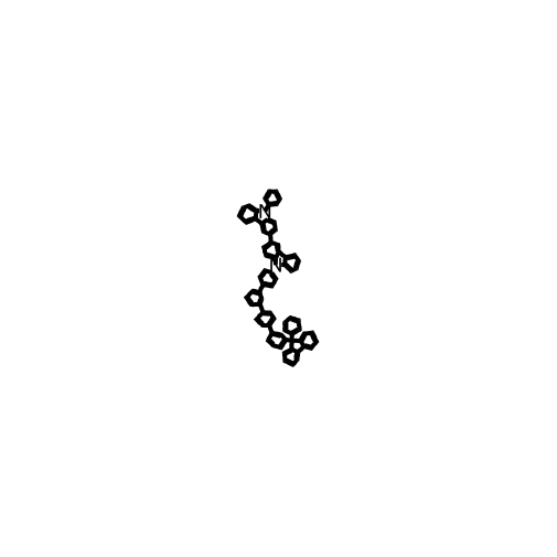 c1ccc(-n2c3ccccc3c3cc(-c4ccc5c(c4)c4ccccc4n5-c4ccc(-c5cccc(-c6ccc(-c7cccc(C8(c9ccccc9)c9ccccc9-c9ccccc98)c7)cc6)c5)cc4)ccc32)cc1